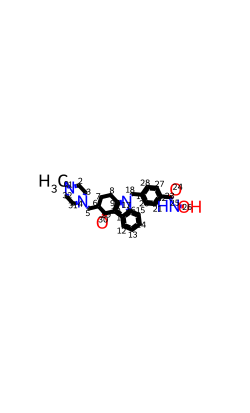 CN1CCN(CC2CCc3c(c4ccccc4n3Cc3ccc(C(=O)NO)cc3)C2=O)CC1